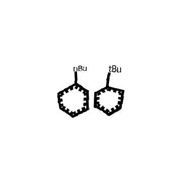 CC(C)(C)c1ccccc1.CCCCc1ccccc1